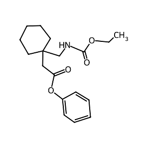 CCOC(=O)NCC1(CC(=O)Oc2ccccc2)CCCCC1